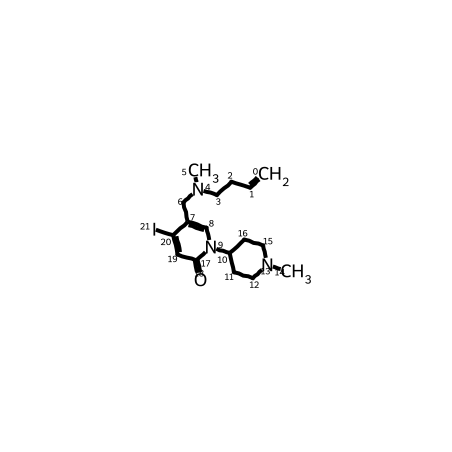 C=CCCN(C)Cc1cn(C2CCN(C)CC2)c(=O)cc1I